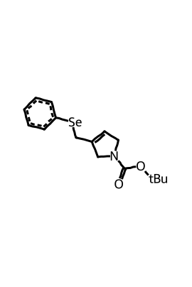 CC(C)(C)OC(=O)N1CC=C(C[Se]c2ccccc2)C1